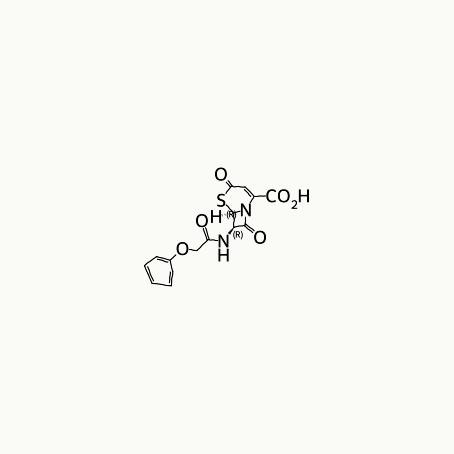 O=C(COc1ccccc1)N[C@@H]1C(=O)N2C(C(=O)O)=CC(=O)S[C@H]12